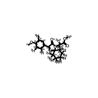 [2H]OC(=O)C([2H])([2H])N1C(=O)C(c2cc([2H])c(OC)c([2H])c2[2H])=NC12C([2H])([2H])C([2H])([2H])C([2H])([2H])C([2H])([2H])C2([2H])[2H]